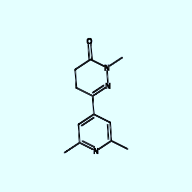 Cc1cc(C2=NN(C)C(=O)CC2)cc(C)n1